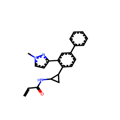 C=CC(=O)NC1CC1c1ccc(-c2ccccc2)cc1-c1ccn(C)n1